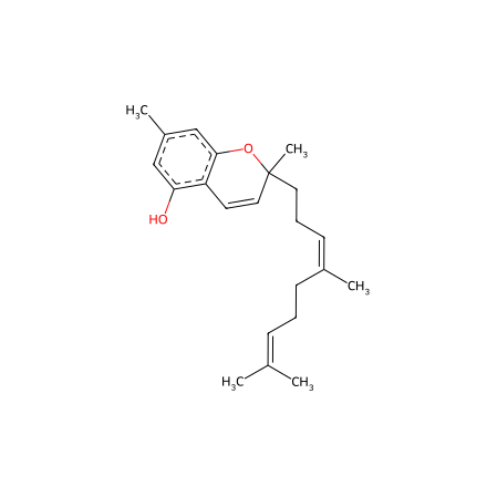 CC(C)=CCC/C(C)=C\CCC1(C)C=Cc2c(O)cc(C)cc2O1